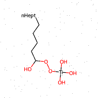 CCCCCCCCCCCC(O)O[O][Ti]([OH])([OH])[OH]